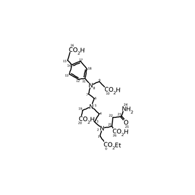 CCOC(=O)CN(CCN(CCN(CC(=O)O)c1ccc(CC(=O)O)cc1)CC(=O)O)C(CC(N)=O)C(=O)O